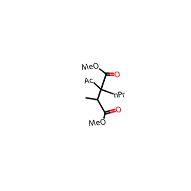 CCCC(C(C)=O)(C(=O)OC)C(C)C(=O)OC